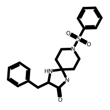 O=C1[N]C2(CCN(S(=O)(=O)c3ccccc3)CC2)NC1Cc1ccccc1